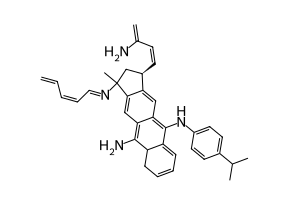 C=C/C=C\C=N\C1(C)C[C@@H](/C=C\C(=C)N)c2cc3c(cc21)=C(N)C1CC=CC=C1C=3Nc1ccc(C(C)C)cc1